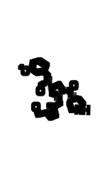 COc1cccc(CN(C=O)[C@H]2C[C@@H](C(=O)N3CCNCC3)N(Cc3ccc(C=O)s3)C2)c1